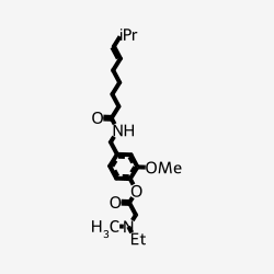 CCN(C)CC(=O)Oc1ccc(CNC(=O)CCCC/C=C/C(C)C)cc1OC